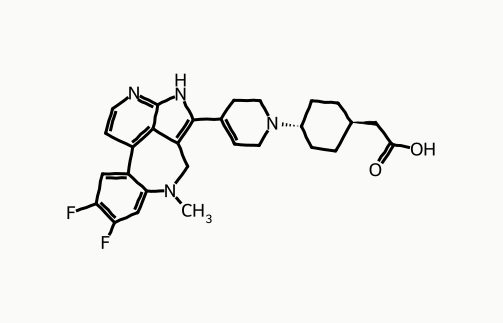 CN1Cc2c(C3=CCN([C@H]4CC[C@H](CC(=O)O)CC4)CC3)[nH]c3nccc(c23)-c2cc(F)c(F)cc21